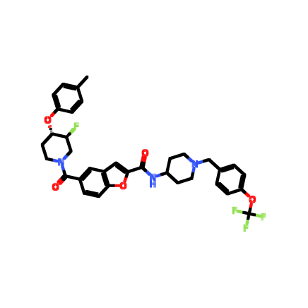 Cc1ccc(O[C@H]2CCN(C(=O)c3ccc4oc(C(=O)NC5CCN(Cc6ccc(OC(F)(F)F)cc6)CC5)cc4c3)C[C@@H]2F)cc1